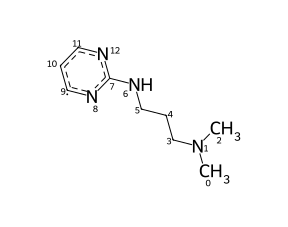 CN(C)CCCNc1n[c]ccn1